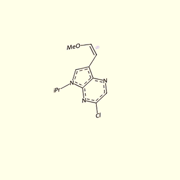 CO/C=C\c1cn(C(C)C)c2nc(Cl)cnc12